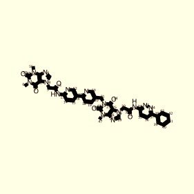 Cn1c(=O)c2c(ncn2CC(=O)Nc2ccc(-c3ccc(Cn4c(=O)c5c(ncn5CC(=O)Nc5ccc(-c6ccccc6)nn5)n(C)c4=O)cn3)cn2)n(C)c1=O